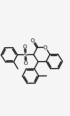 Cc1ccccc1C1c2ccccc2OC(=O)C1S(=O)(=O)c1ccccc1C